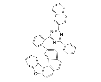 c1ccc(-c2nc(-c3ccc4ccccc4c3)nc(-c3ccccc3-c3ccc4ccc5ccc6oc7ccccc7c6c5c4c3)n2)cc1